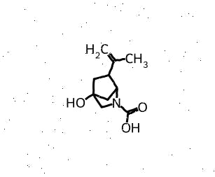 C=C(C)C1CC2(O)CC1N(C(=O)O)C2